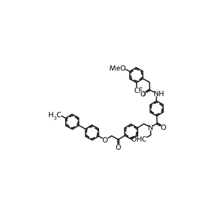 COc1ccc(CC(=O)Nc2ccc(C(=O)N(CC=O)Cc3ccc(C(=O)COc4ccc(-c5ccc(C)cc5)cc4)cc3)cc2)c(C(F)(F)F)c1